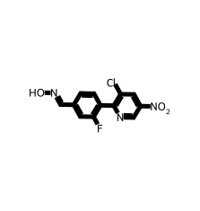 O=[N+]([O-])c1cnc(-c2ccc(C=NO)cc2F)c(Cl)c1